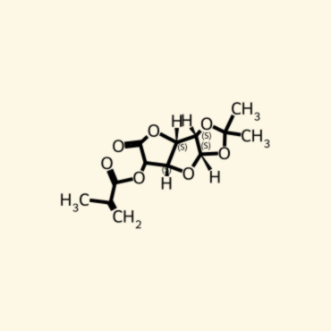 C=C(C)C(=O)OC1C(=O)O[C@@H]2[C@@H]3OC(C)(C)O[C@@H]3O[C@H]12